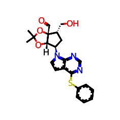 CC1(C)O[C@H]2[C@H](n3ccc4c(Sc5ccccc5)ncnc43)C[C@@H](CO)[C@@]2(C=O)O1